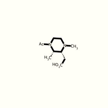 CC(=O)N1CCN(C)[C@H](CC(=O)O)[C@@H]1C